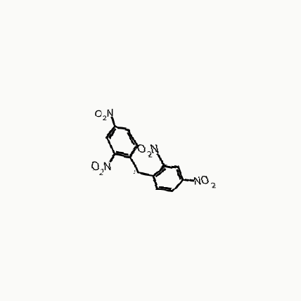 O=[N+]([O-])c1ccc([C]c2ccc([N+](=O)[O-])cc2[N+](=O)[O-])c([N+](=O)[O-])c1